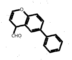 O=CC1C=COc2ccc(-c3ccccc3)cc21